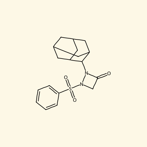 O=C1CN(S(=O)(=O)c2ccccc2)N1C1C2CC3CC(C2)CC1C3